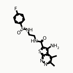 Cc1nnc2sc(C(=O)NCCN[S+]([O-])c3ccc(F)cc3)c(N)c2c1C